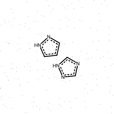 c1cn[nH]c1.c1nc[nH]n1